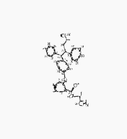 CCOC(=O)c1ccccc1Oc1ccc(C(c2ccccc2)C(CCCl)c2ccccc2)cc1